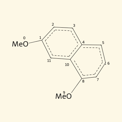 COc1ccc2c[c]cc(OC)c2c1